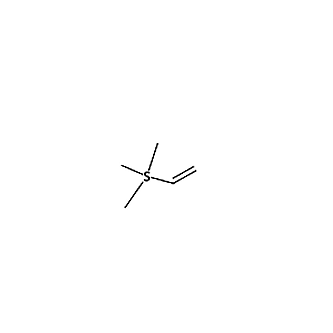 C=CS(C)(C)C